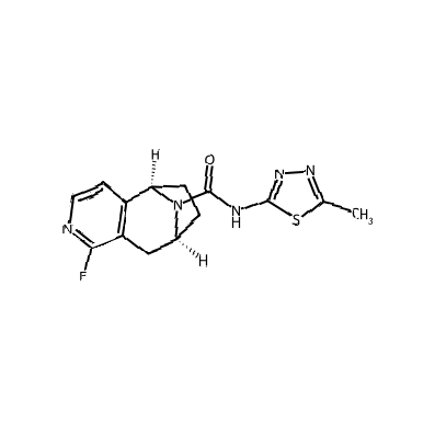 Cc1nnc(NC(=O)N2[C@H]3CC[C@@H]2c2ccnc(F)c2C3)s1